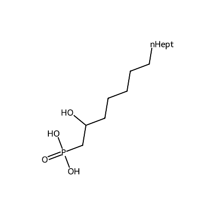 CCCCCCCCCCCCC(O)CP(=O)(O)O